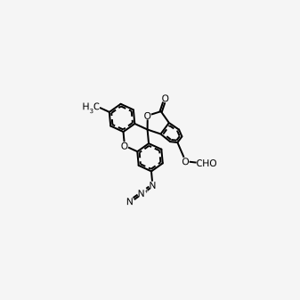 Cc1ccc2c(c1)Oc1cc(N=[N+]=[N-])ccc1C21OC(=O)c2ccc(OC=O)cc21